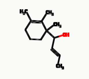 CC=CC(O)C1(C)CCCC(C)=C1C